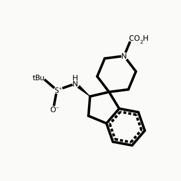 CC(C)(C)[S+]([O-])N[C@@H]1Cc2ccccc2C12CCN(C(=O)O)CC2